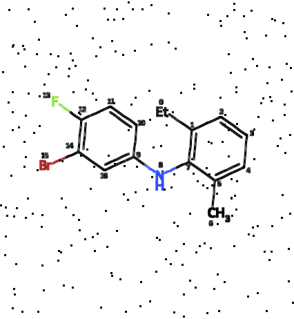 CCc1cccc(C)c1Nc1ccc(F)c(Br)c1